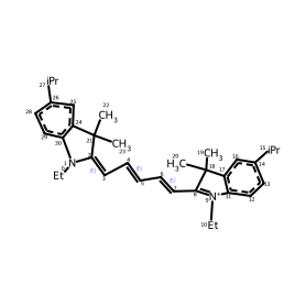 CCN1/C(=C/C=C/C=C/C2=[N+](CC)c3ccc(C(C)C)cc3C2(C)C)C(C)(C)c2cc(C(C)C)ccc21